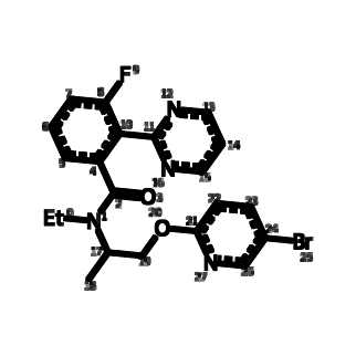 CCN(C(=O)c1cccc(F)c1-c1ncccn1)C(C)COc1ccc(Br)cn1